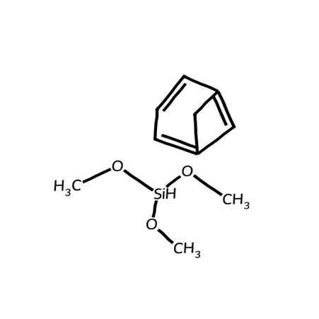 CO[SiH](OC)OC.c1cc2cc(c1)C2